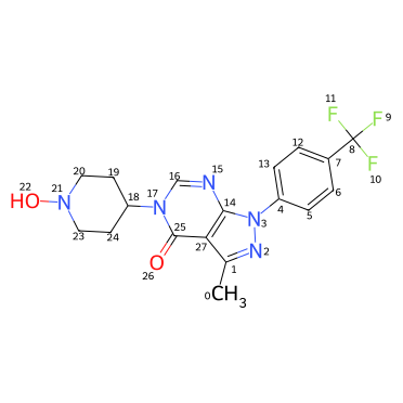 Cc1nn(-c2ccc(C(F)(F)F)cc2)c2ncn(C3CCN(O)CC3)c(=O)c12